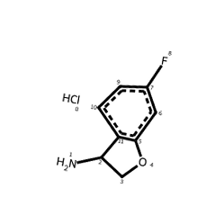 Cl.NC1COc2cc(F)ccc21